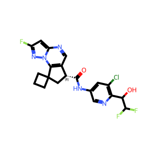 O=C(Nc1cnc(C(O)C(F)F)c(Cl)c1)[C@@H]1CC2(CCC2)c2c1cnc1cc(F)nn21